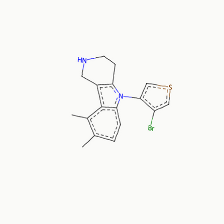 Cc1ccc2c(c1C)c1c(n2-c2cscc2Br)CCNC1